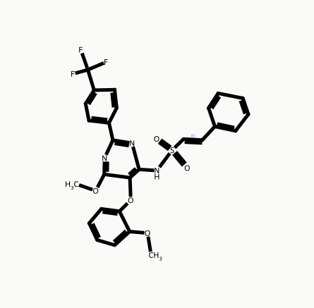 COc1ccccc1Oc1c(NS(=O)(=O)/C=C/c2ccccc2)nc(-c2ccc(C(F)(F)F)cc2)nc1OC